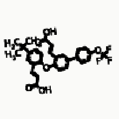 CC(C)(C)c1ccc(Oc2ccc(-c3ccc(OC(F)(F)F)cc3)cc2/C=C/C(=O)O)c(/C=C/C(=O)O)c1